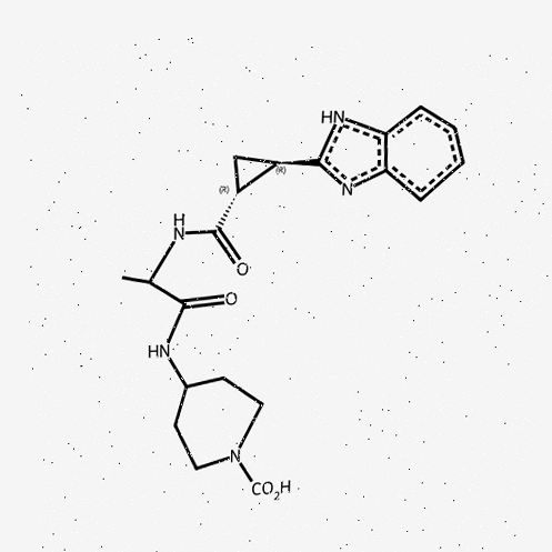 CC(NC(=O)[C@@H]1C[C@H]1c1nc2ccccc2[nH]1)C(=O)NC1CCN(C(=O)O)CC1